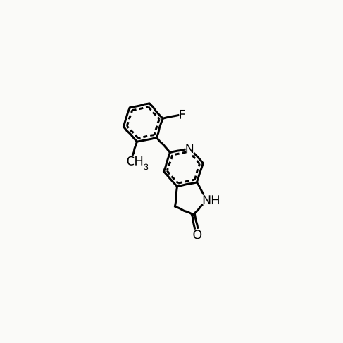 Cc1cccc(F)c1-c1cc2c(cn1)NC(=O)C2